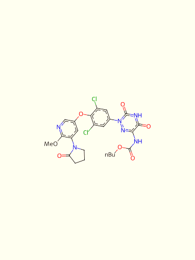 CCCCOC(=O)Nc1nn(-c2cc(Cl)c(Oc3cnc(OC)c(N4CCCC4=O)c3)c(Cl)c2)c(=O)[nH]c1=O